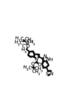 CC(C)(C)OC(=O)n1c(-c2n[nH]c3cc(-c4cncs4)ccc23)cc2cc(CO[Si](C)(C)C(C)(C)C)ccc21